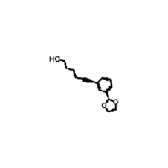 OCCCCC#Cc1cccc(C2OCCO2)c1